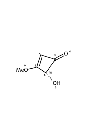 COC1=CC(=O)[C@@H]1O